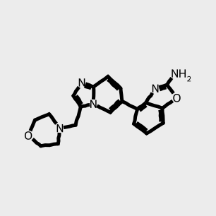 Nc1nc2c(-c3ccc4ncc(CN5CCOCC5)n4c3)cccc2o1